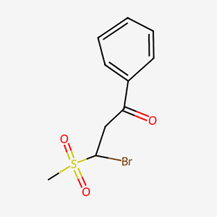 CS(=O)(=O)C(Br)CC(=O)c1ccccc1